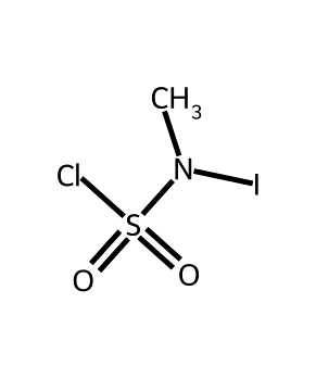 CN(I)S(=O)(=O)Cl